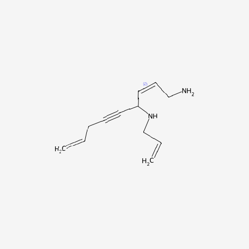 C=CCC#CC(/C=C\CN)NCC=C